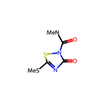 CNC(=O)n1sc(SC)nc1=O